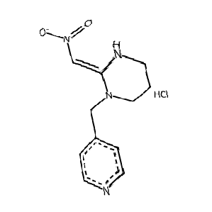 Cl.O=[N+]([O-])C=C1NCCCN1Cc1ccncc1